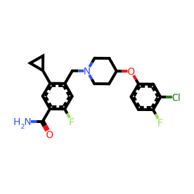 NC(=O)c1cc(C2CC2)c(CN2CCC(Oc3ccc(F)c(Cl)c3)CC2)cc1F